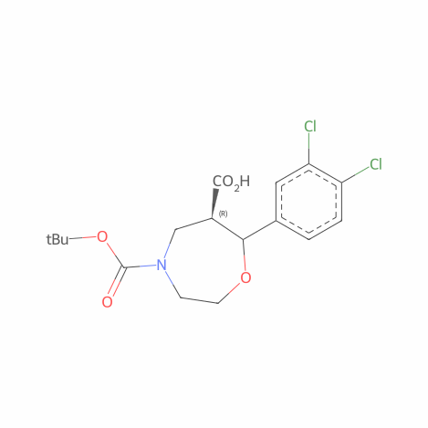 CC(C)(C)OC(=O)N1CCOC(c2ccc(Cl)c(Cl)c2)[C@H](C(=O)O)C1